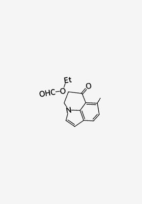 CCOC=O.Cc1ccc2ccn3c2c1C(=O)CC3